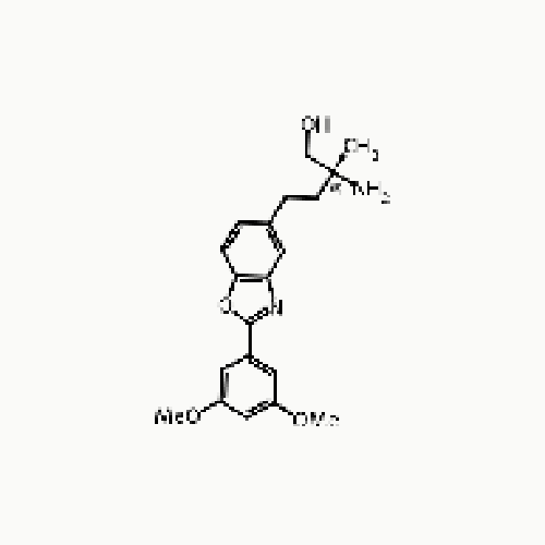 COc1cc(OC)cc(-c2nc3cc(CC[C@@](C)(N)CO)ccc3o2)c1